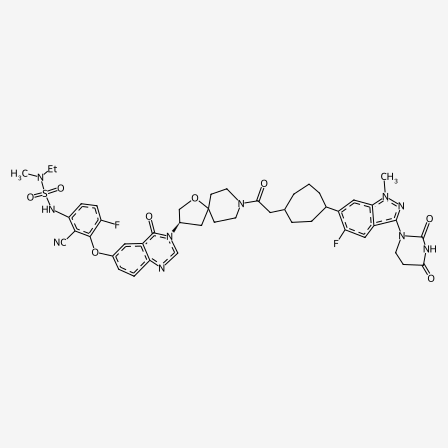 CCN(C)S(=O)(=O)Nc1ccc(F)c(Oc2ccc3ncn([C@H]4COC5(CCN(C(=O)CC6CCCC(c7cc8c(cc7F)c(N7CCC(=O)NC7=O)nn8C)CC6)CC5)C4)c(=O)c3c2)c1C#N